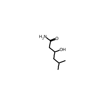 CC(C)CC(O)CC(N)=O